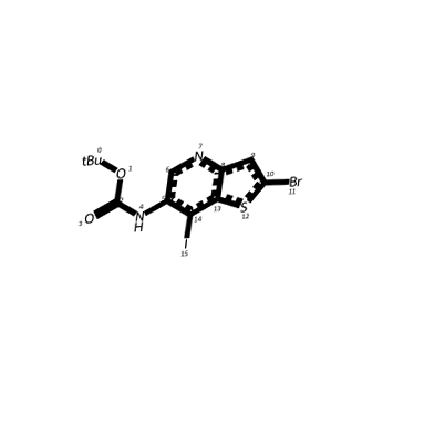 CC(C)(C)OC(=O)Nc1cnc2cc(Br)sc2c1I